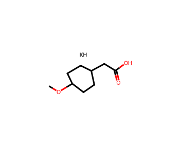 COC1CCC(CC(=O)O)CC1.[KH]